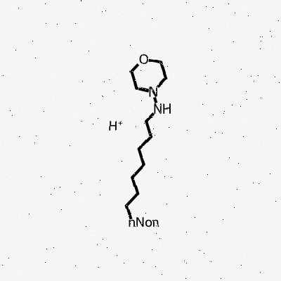 CCCCCCCCCCCCCCCCNN1CCOCC1.[H+]